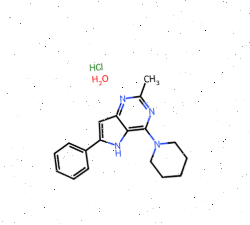 Cc1nc(N2CCCCC2)c2[nH]c(-c3ccccc3)cc2n1.Cl.O